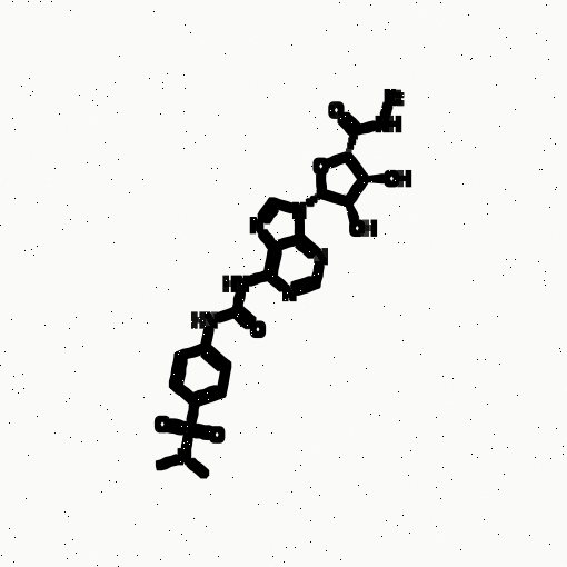 CCNC(=O)[C@H]1O[C@@H](n2cnc3c(NC(=O)Nc4ccc(S(=O)(=O)N(C)C)cc4)ncnc32)[C@H](O)[C@@H]1O